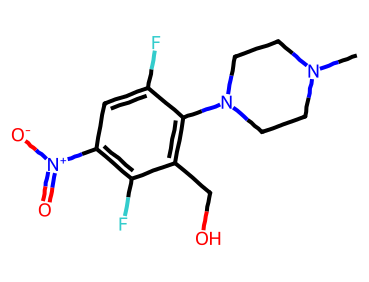 CN1CCN(c2c(F)cc([N+](=O)[O-])c(F)c2CO)CC1